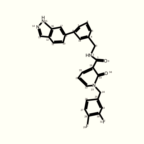 O=C(NCc1cccc(-c2ccc3cn[nH]c3c2)c1)c1cccn(Cc2ccc(F)c(F)c2)c1=O